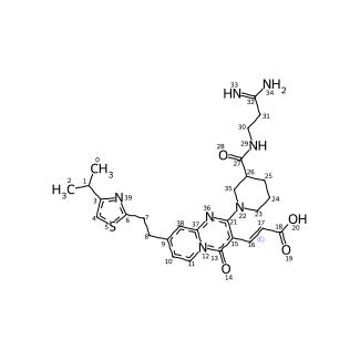 CC(C)c1csc(CCc2ccn3c(=O)c(/C=C/C(=O)O)c(N4CCCC(C(=O)NCCC(=N)N)C4)nc3c2)n1